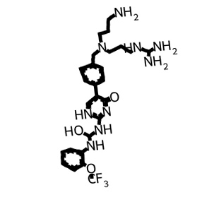 NCCCN(CCCNC(N)N)Cc1ccc(-c2c[nH]c(NC(O)Nc3ccccc3OC(F)(F)F)nc2=O)cc1